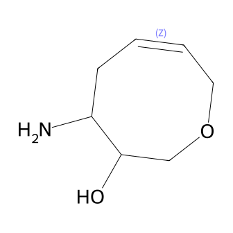 NC1C/C=C\COCC1O